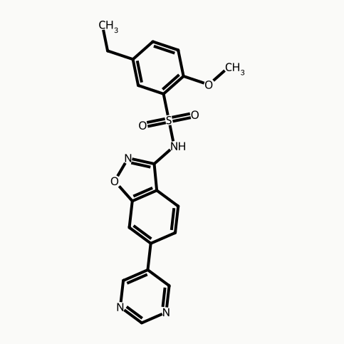 CCc1ccc(OC)c(S(=O)(=O)Nc2noc3cc(-c4cncnc4)ccc23)c1